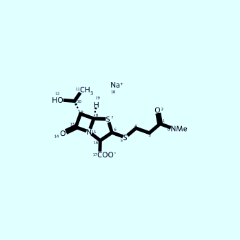 CNC(=O)CCSC1S[C@@H]2[C@@H](C(C)O)C(=O)N2C1C(=O)[O-].[Na+]